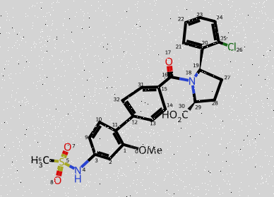 COc1cc(NS(C)(=O)=O)ccc1-c1ccc(C(=O)N2[C@@H](c3ccccc3Cl)CC[C@H]2C(=O)O)cc1